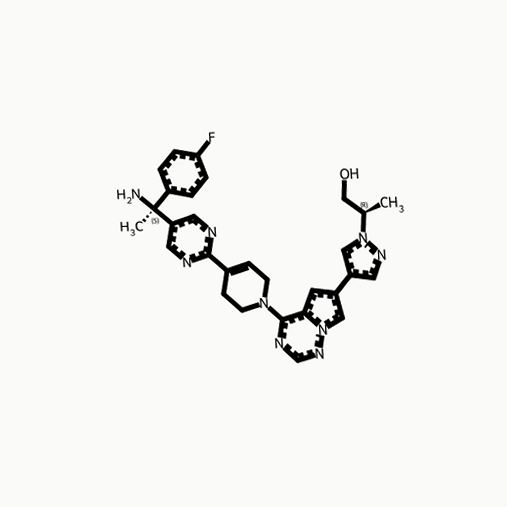 C[C@H](CO)n1cc(-c2cc3c(N4CC=C(c5ncc([C@@](C)(N)c6ccc(F)cc6)cn5)CC4)ncnn3c2)cn1